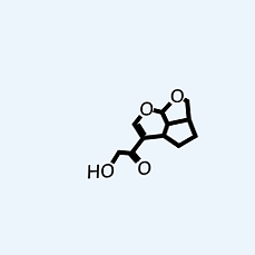 O=C(CO)C1=COC2OCC3CCC1C32